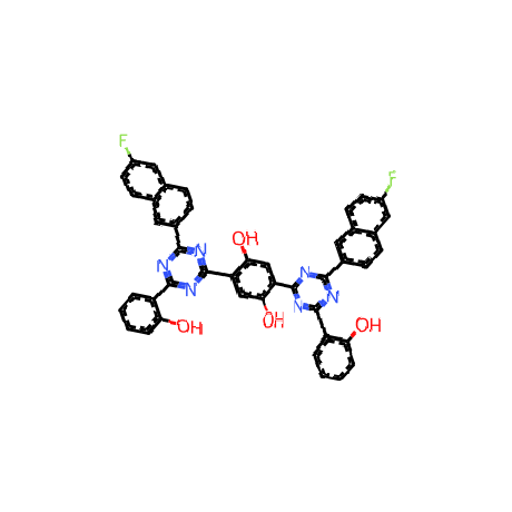 Oc1ccccc1-c1nc(-c2ccc3cc(F)ccc3c2)nc(-c2cc(O)c(-c3nc(-c4ccc5cc(F)ccc5c4)nc(-c4ccccc4O)n3)cc2O)n1